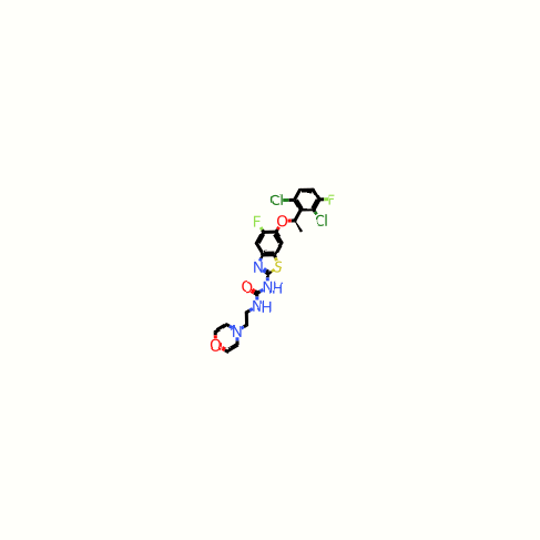 C[C@@H](Oc1cc2sc(NC(=O)NCCN3CCOCC3)nc2cc1F)c1c(Cl)ccc(F)c1Cl